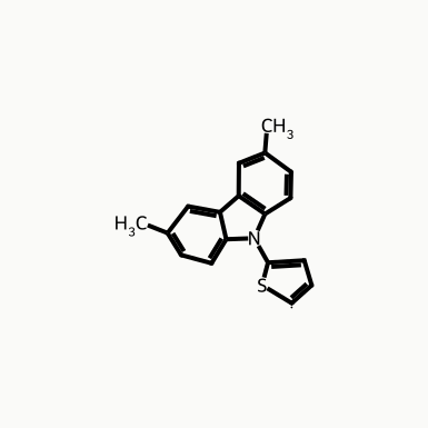 Cc1ccc2c(c1)c1cc(C)ccc1n2-c1cc[c]s1